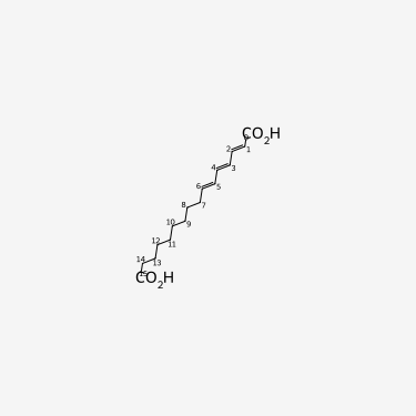 O=C(O)C=CC=CC=CCCCCCCCCC(=O)O